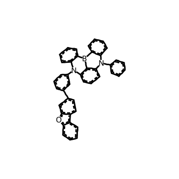 c1ccc(N2c3ccccc3B3c4ccccc4N(c4cccc(-c5ccc6c(c5)oc5ccccc56)c4)c4cccc2c43)cc1